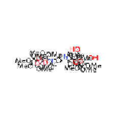 COCC1O[C@@H](O[C@H]2C(COC)OC(N(Cc3cccc(CN(C[C@@H](OC)[C@H](OC)[C@@H](O[C@@H]4OC(CCO)[C@@H](OC)[C@@H](OC)C4OC)C(CCO)OC)C(C)=O)c3)C(C)=O)C(OC)C2OC)C(OC)C(OC)[C@@H]1OC